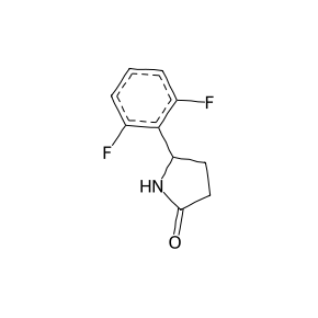 O=C1CCC(c2c(F)cccc2F)N1